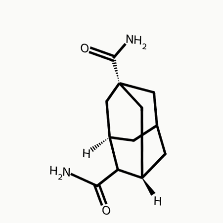 NC(=O)C1[C@@H]2CC3C[C@H]1C[C@](C(N)=O)(C3)C2